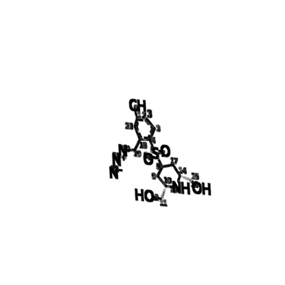 Cc1ccc(S(=O)(=O)C2C[C@@H](CO)N[C@@H](CO)C2)c(CN=[N+]=[N-])c1